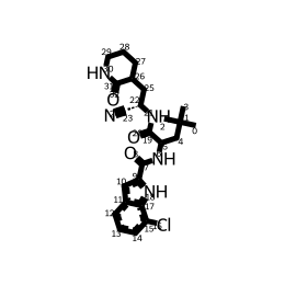 CC(C)(C)CC(NC(=O)c1cc2cccc(Cl)c2[nH]1)C(=O)N[C@H](C#N)CC1CCCNC1=O